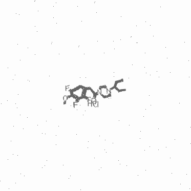 CCC(CC)N1CCN(C(=O)Cc2cc(F)c(OC)c(F)c2F)CC1.Cl